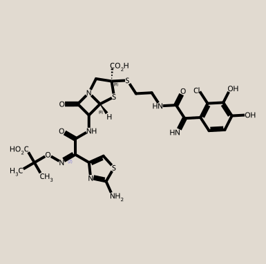 CC(C)(O/N=C(\C(=O)NC1C(=O)N2C[C@](SCCNC(=O)C(=N)c3ccc(O)c(O)c3Cl)(C(=O)O)S[C@H]12)c1csc(N)n1)C(=O)O